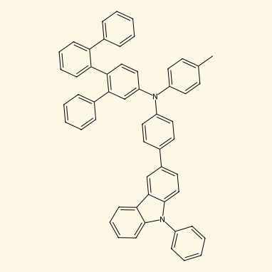 Cc1ccc(N(c2ccc(-c3ccc4c(c3)c3ccccc3n4-c3ccccc3)cc2)c2ccc(-c3ccccc3-c3ccccc3)c(-c3ccccc3)c2)cc1